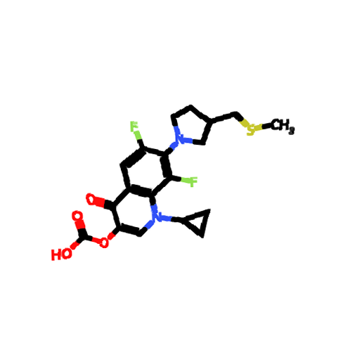 CSCC1CCN(c2c(F)cc3c(=O)c(OC(=O)O)cn(C4CC4)c3c2F)C1